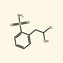 CCC(O)Cc1ccccc1S(N)(=O)=O